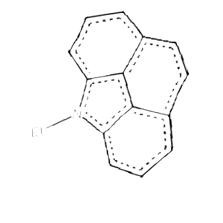 CCn1c2cccc3ccc4cccc1c4c32